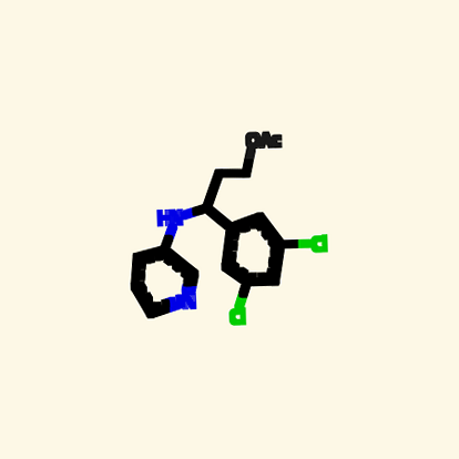 CC(=O)OCCC(Nc1cccnc1)c1cc(Cl)cc(Cl)c1